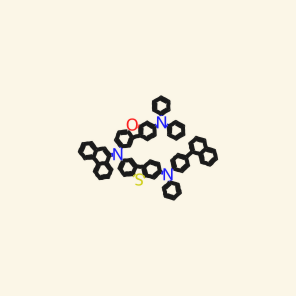 c1ccc(N(c2ccccc2)c2ccc3c(c2)oc2ccc(N(c4ccc5sc6cc(N(c7ccccc7)c7ccc(-c8cccc9ccccc89)cc7)ccc6c5c4)c4cc5ccccc5c5ccccc45)cc23)cc1